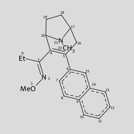 CCC(=NOC)C1=C(c2ccc3ccccc3c2)CC2CCC1N2C